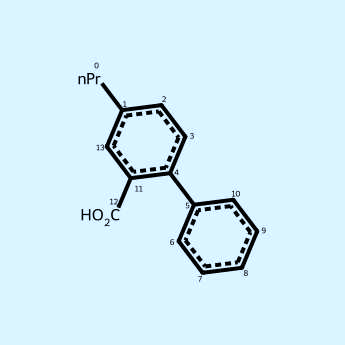 CCCc1ccc(-c2ccccc2)c(C(=O)O)c1